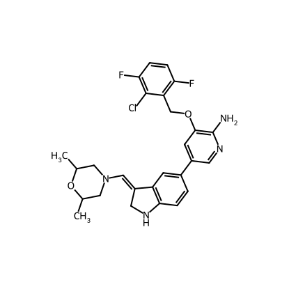 CC1CN(C=C2CNc3ccc(-c4cnc(N)c(OCc5c(F)ccc(F)c5Cl)c4)cc32)CC(C)O1